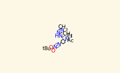 CC[C@H]1[C@H](C)C(Nc2cnc(C)cn2)c2cc(N3CCN(C(=O)OC(C)(C)C)CC3)ccc2N1C(C)=O